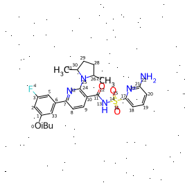 CC(C)COc1cc(F)cc(-c2ccc(C(=O)NS(=O)(=O)c3cccc(N)n3)c(N3C(C)CCC3C)n2)c1